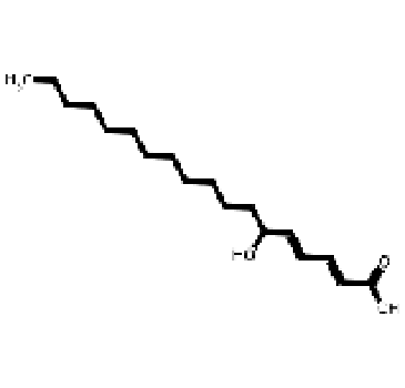 CCCCCCCCCCCCC(O)C=CC=CC(=O)O